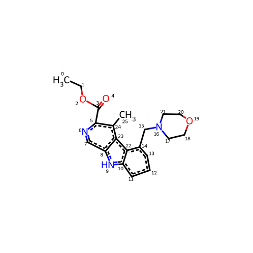 CCOC(=O)c1ncc2[nH]c3cccc(CN4CCOCC4)c3c2c1C